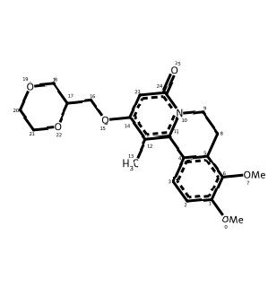 COc1ccc2c(c1OC)CCn1c-2c(C)c(OCC2COCCO2)cc1=O